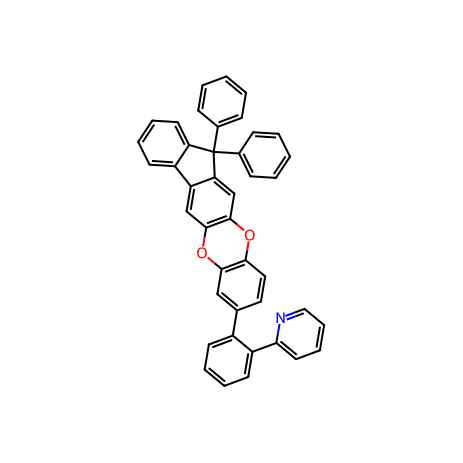 c1ccc(C2(c3ccccc3)c3ccccc3-c3cc4c(cc32)Oc2ccc(-c3ccccc3-c3ccccn3)cc2O4)cc1